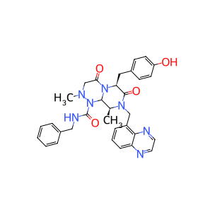 C[C@H]1C2N(C(=O)CN(C)N2C(=O)NCc2ccccc2)[C@@H](Cc2ccc(O)cc2)C(=O)N1Cc1cccc2nccnc12